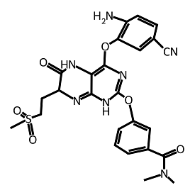 CN(C)C(=O)c1cccc(OC2=NC(Oc3cc(C#N)ccc3N)=C3NC(=O)C(CCS(C)(=O)=O)N=C3N2)c1